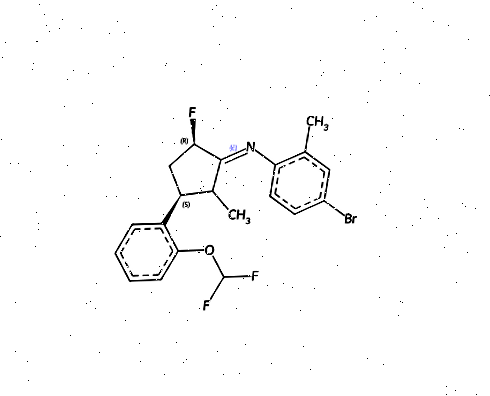 Cc1cc(Br)ccc1/N=C1\C(C)[C@@H](c2ccccc2OC(F)F)C[C@H]1F